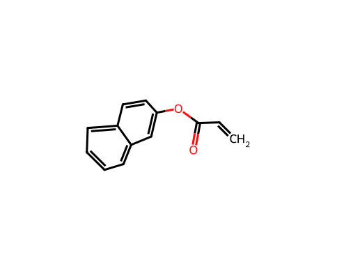 C=CC(=O)Oc1ccc2ccccc2c1